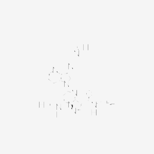 CNc1cc(-n2cc(N3CCN(C)CC3)c3ncccc32)nc2c(C(=O)N[C@H]3C[C@H]3F)cnn12